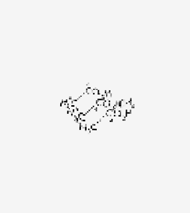 C.CC(=O)O.CC(=O)O.CC(=O)O